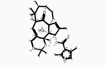 CC1=C[C@@]23CCC[C@H](C)C(C)(C)[C@H](C=C4COC(C)(C)O[C@H]4[C@]2(O)[C@H]1OC(=O)c1c(C)coc1C)C3=O